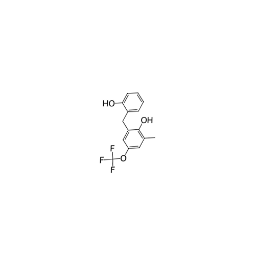 Cc1cc(OC(F)(F)F)cc(Cc2ccccc2O)c1O